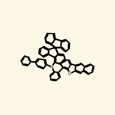 c1ccc(-c2ccc(N(c3ccccc3-c3cccc4c3oc3cc5ccccc5cc34)c3cccc4c3-c3ccccc3C43c4ccccc4-c4ccccc43)cc2)cc1